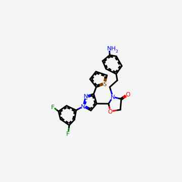 Nc1ccc(CCN2C(=O)COC2c2cn(-c3cc(F)cc(F)c3)nc2-c2cccs2)cc1